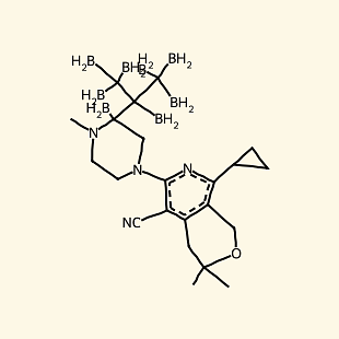 BC(B)(B)C(B)(C(B)(B)B)C1(B)CN(c2nc(C3CC3)c3c(c2C#N)CC(C)(C)OC3)CCN1C